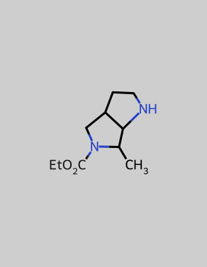 CCOC(=O)N1CC2CCNC2C1C